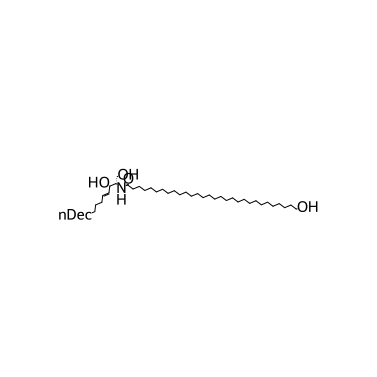 CCCCCCCCCCCCC/C=C/[C@@H](O)[C@H](CO)NC(=O)CCCCCCCCCCCCCCCCCCCCCCCCCCCCCO